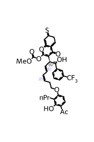 CCCc1c(OCC/C=C\C=C\[C@@H](c2c(OC(=O)OC)oc3c(c2=O)=CCC(=S)C=3)[C@@H](O)c2cccc(C(F)(F)F)c2)ccc(C(C)=O)c1O